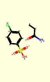 CCC(N)=O.O=S(=O)(O)c1ccc(Cl)cc1